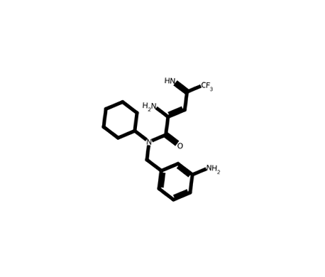 N=C(/C=C(\N)C(=O)N(Cc1cccc(N)c1)C1CCCCC1)C(F)(F)F